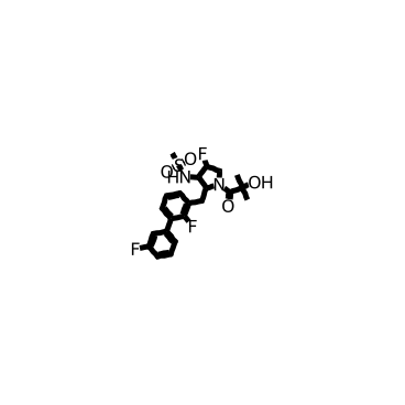 CC(C)(O)C(=O)N1CC(F)C(NS(C)(=O)=O)C1Cc1cccc(-c2cccc(F)c2)c1F